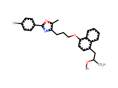 Cc1oc(-c2ccc(Cl)cc2)nc1CCCOc1ccc(CC(OC(C)C)C(=O)O)c2ccccc12